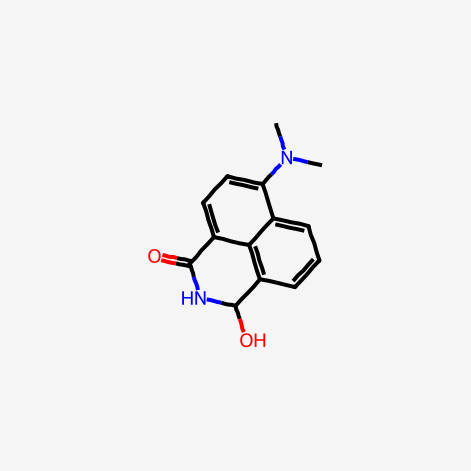 CN(C)c1ccc2c3c(cccc13)C(O)NC2=O